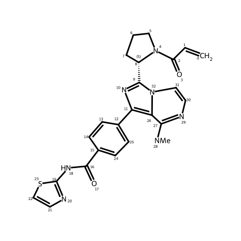 C=CC(=O)N1CCC[C@H]1c1nc(-c2ccc(C(=O)Nc3nccs3)cc2)c2c(NC)nccn12